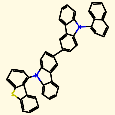 c1ccc2c(-n3c4ccccc4c4cc(-c5ccc6c(c5)c5ccccc5n6-c5cccc6sc7ccccc7c56)ccc43)cccc2c1